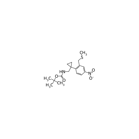 CSCc1cc([N+](=O)[O-])ccc1C1(CNC(=O)OC(C)(C)C)CC1